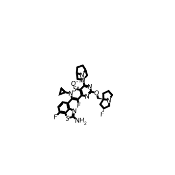 Nc1nc2c(C3=C(F)c4nc(OC[C@@]56CCCN5C[C@H](F)C6)nc(N5CC6CCC(C5)N6)c4[S+]([O-])N3C3CC3)ccc(F)c2s1